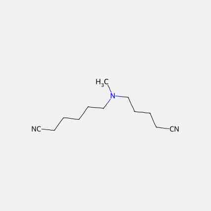 CN(CCCCC#N)CCCCCC#N